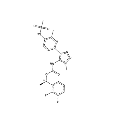 Cc1nc(-c2nnn(C)c2NC(=O)O[C@H](C)c2cccc(F)c2F)ccc1NS(C)(=O)=O